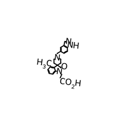 Cc1cccc2c1C1(CCN(Cc3ccc4[nH]ncc4c3)CC1)C(=O)N2CCC(=O)O